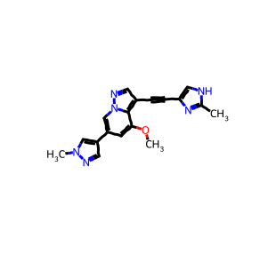 COc1cc(-c2cnn(C)c2)cn2ncc(C#Cc3c[nH]c(C)n3)c12